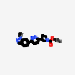 CC(C)n1ncc2ccc(-c3ccc(C4CCN(C(=O)OC(C)(C)C)C4)nn3)cc21